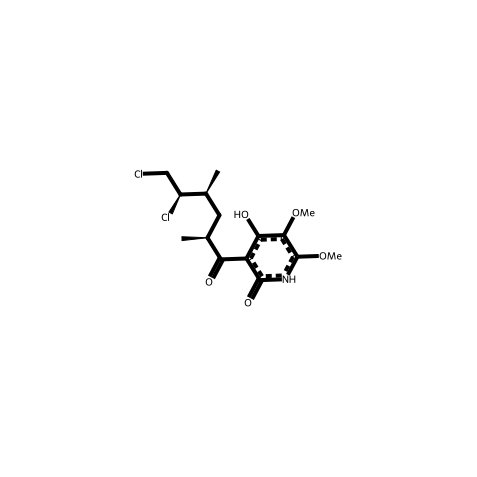 COc1[nH]c(=O)c(C(=O)[C@@H](C)C[C@H](C)[C@@H](Cl)CCl)c(O)c1OC